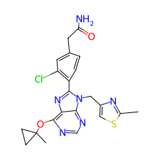 Cc1nc(Cn2c(-c3ccc(CC(N)=O)cc3Cl)nc3c(OC4(C)CC4)ncnc32)cs1